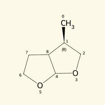 C[C@H]1COC2OCCC21